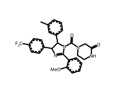 COc1ccccc1C1=NC(c2ccc(C(F)(F)F)cc2)C(c2cccc(C)c2)N1C(=O)N1CCNC(=O)C1